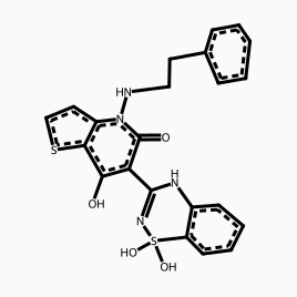 O=c1c(C2=NS(O)(O)c3ccccc3N2)c(O)c2sccc2n1NCCc1ccccc1